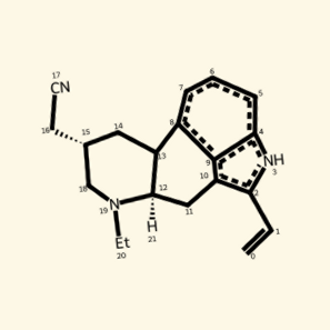 C=Cc1[nH]c2cccc3c2c1C[C@@H]1C3C[C@@H](CC#N)CN1CC